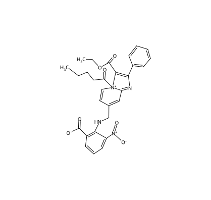 CCCCC(=O)[N+]12C=CC(CNc3c(C(=O)[O-])cccc3[N+](=O)[O-])=CC1=NC(c1ccccc1)=C2C(=O)OCC